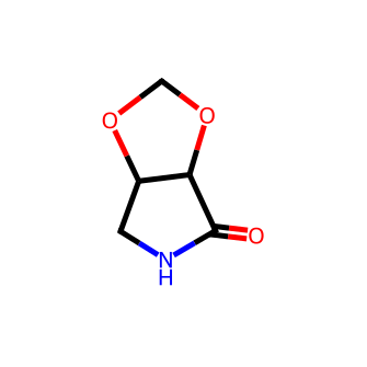 O=C1NCC2OCOC12